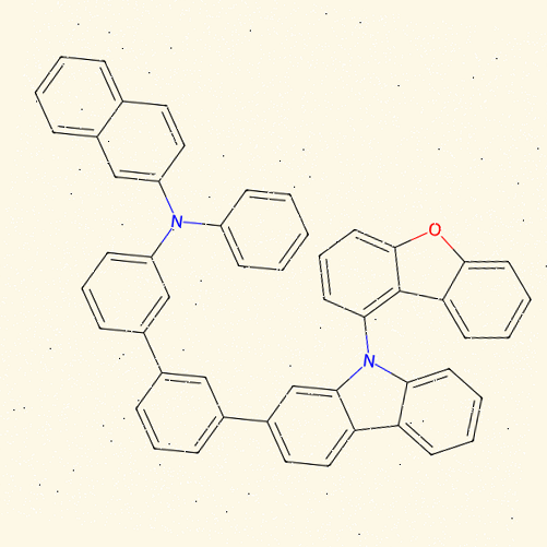 c1ccc(N(c2cccc(-c3cccc(-c4ccc5c6ccccc6n(-c6cccc7oc8ccccc8c67)c5c4)c3)c2)c2ccc3ccccc3c2)cc1